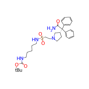 CC(C)(C)OC(=O)NCCCCCNS(=O)(=O)CCN1CC[C@@H](C(C(N)=O)(c2ccccc2)c2ccccc2)C1